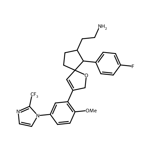 COc1ccc(-n2ccnc2C(F)(F)F)cc1C1=CC2(CCC(CCN)C2c2ccc(F)cc2)OC1